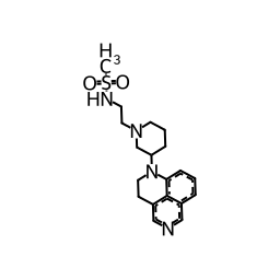 CS(=O)(=O)NCCN1CCCC(N2CCc3cncc4cccc2c34)C1